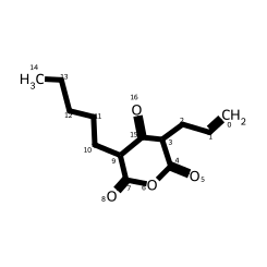 C=CCC1C(=O)OC(=O)C(CCCCC)C1=O